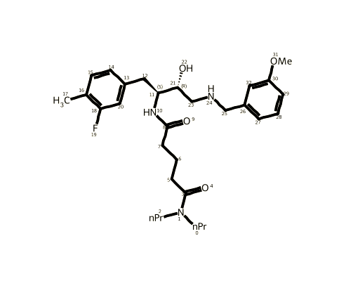 CCCN(CCC)C(=O)CCCC(=O)N[C@@H](Cc1ccc(C)c(F)c1)[C@H](O)CNCc1cccc(OC)c1